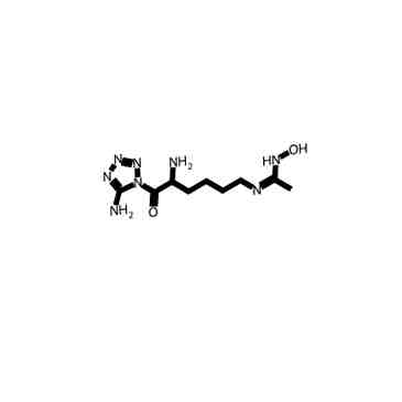 CC(=NCCCCC(N)C(=O)n1nnnc1N)NO